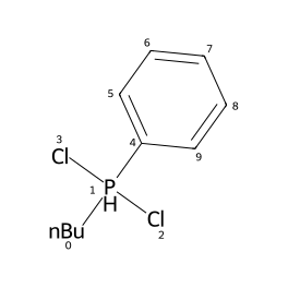 CCCC[PH](Cl)(Cl)c1ccccc1